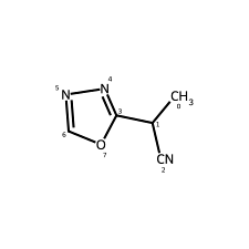 CC(C#N)c1nnco1